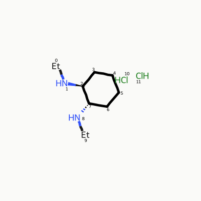 CCN[C@H]1CCCC[C@@H]1NCC.Cl.Cl